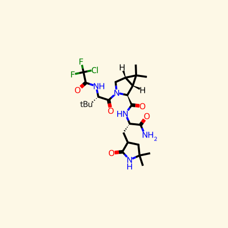 CC1(C)CC(C[C@H](NC(=O)[C@@H]2[C@@H]3[C@H](CN2C(=O)[C@@H](NC(=O)C(F)(F)Cl)C(C)(C)C)C3(C)C)C(N)=O)C(=O)N1